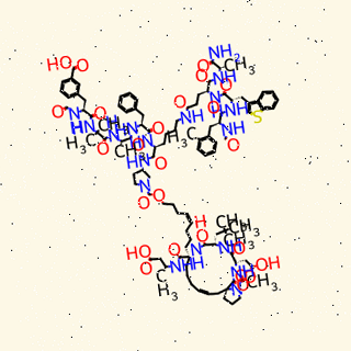 CC(=O)N1CCC[C@]12C/C=C\CCC[C@@](CCC/C=C\CCCOC(=O)N1CC[C@H](NC(=O)[C@H](CCCCNC(=O)CC[C@H](NC(=O)[C@H](Cc3csc4ccccc34)NC(=O)[C@H](Cc3ccccc3C)NC=O)C(=O)N[C@@H](C)C(N)=O)NC(=O)[C@H](Cc3ccccc3)NC(=O)[C@H](C)NC(=O)C(C)(C)NC(=O)[C@H](Cc3cccc(C(=O)O)c3)NC=O)C1)(C(=O)N[C@H](C)CC(=O)O)NC(O)[C@H](CC(C)(C)C)NC(=O)[C@H](CC(=O)O)NC2=O